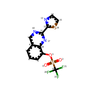 O=S(=O)(Oc1cccc2cnc(-c3nccs3)nc12)C(F)(F)F